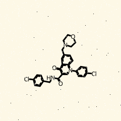 O=C(NCc1ccc(Cl)cc1)c1cn(-c2ccc(Cl)cc2)c2ccc(CN3CCOCC3)cc2c1=O